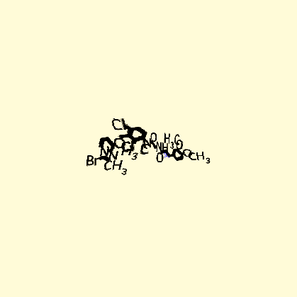 COc1ccc(/C=C/C(=O)NCC(=O)N(C)c2ccc(Cl)c(COc3cccn4c(Br)c(C)nc34)c2Cl)cc1OC